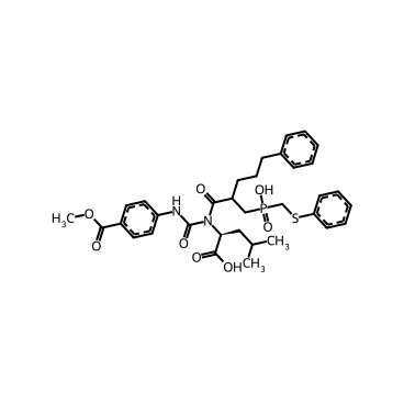 COC(=O)c1ccc(NC(=O)N(C(=O)C(CCCc2ccccc2)CP(=O)(O)CSc2ccccc2)[C@@H](CC(C)C)C(=O)O)cc1